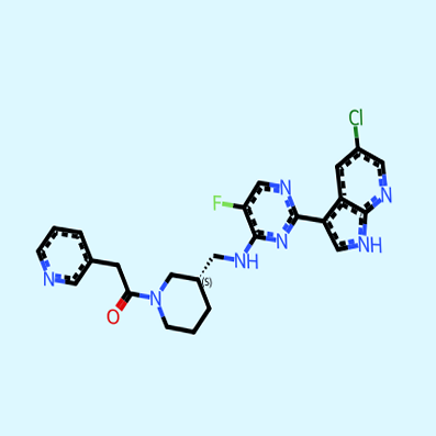 O=C(Cc1cccnc1)N1CCC[C@@H](CNc2nc(-c3c[nH]c4ncc(Cl)cc34)ncc2F)C1